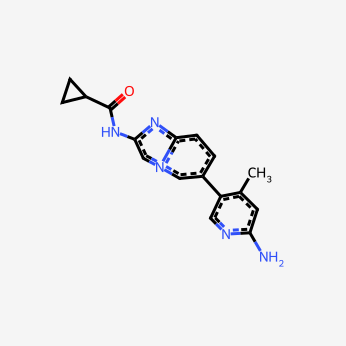 Cc1cc(N)ncc1-c1ccc2nc(NC(=O)C3CC3)cn2c1